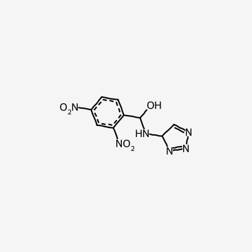 O=[N+]([O-])c1ccc(C(O)NC2C=NN=N2)c([N+](=O)[O-])c1